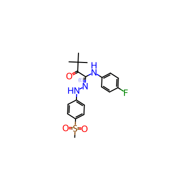 CC(C)(C)C(=O)/C(=N\Nc1ccc(S(C)(=O)=O)cc1)Nc1ccc(F)cc1